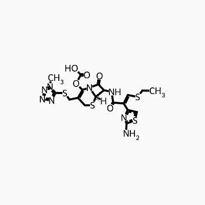 CCSC=C(C(=O)NC1C(=O)N2C(OC(=O)O)=C(CSc3nnnn3C)CS[C@@H]12)c1csc(N)n1